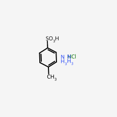 Cc1ccc(S(=O)(=O)O)cc1.Cl.N.N